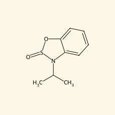 CC(C)N1c2ccccc2OS1=O